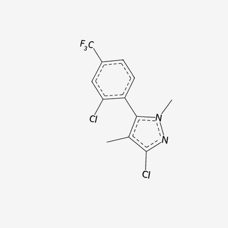 Cc1c(Cl)nn(C)c1-c1ccc(C(F)(F)F)cc1Cl